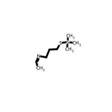 C/C=N\CCCS[Si](C)(C)C